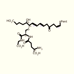 CCCCC/C=C\CC(=O)C/C=C/C=C/[C@H](SC[C@@H](NC(=O)CC[C@@H](N)C(=O)O)C(=O)NCC(=O)O)[C@H](O)CCCC(=O)O